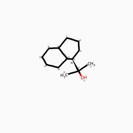 CC(C)(O)[C@@H]1CCCC2CCCCC21